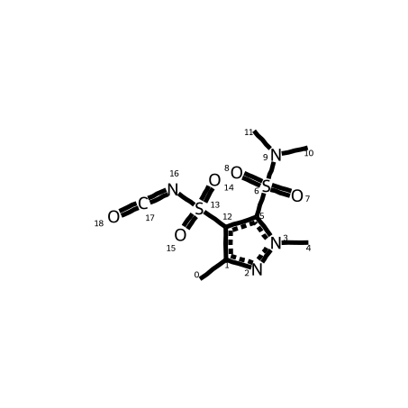 Cc1nn(C)c(S(=O)(=O)N(C)C)c1S(=O)(=O)N=C=O